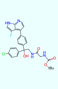 CC(C)(C)OC(=O)NCC(=O)NCC(O)(c1ccc(Cl)cc1)c1ccc(-c2ccnc3[nH]cc(F)c23)cc1